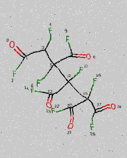 O=C(F)C(F)C(F)(C(=O)F)C(F)(C(=O)F)C(F)(C(=O)F)C(=O)F